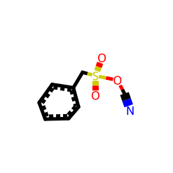 N#COS(=O)(=O)Cc1ccccc1